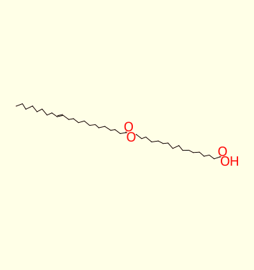 CCCCCCCCC=CCCCCCCCCCCCC(=O)OCCCCCCCCCCCCCCCCC(=O)O